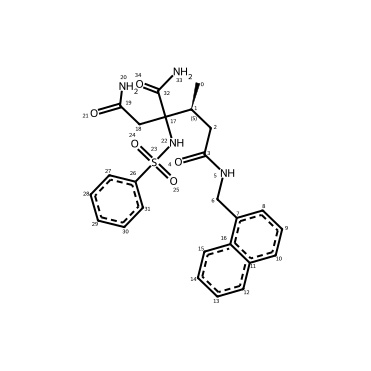 C[C@@H](CC(=O)NCc1cccc2ccccc12)C(CC(N)=O)(NS(=O)(=O)c1ccccc1)C(N)=O